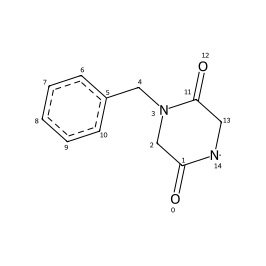 O=C1CN(Cc2ccccc2)C(=O)C[N]1